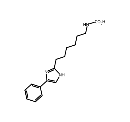 O=C(O)NCCCCCCc1nc(-c2ccccc2)c[nH]1